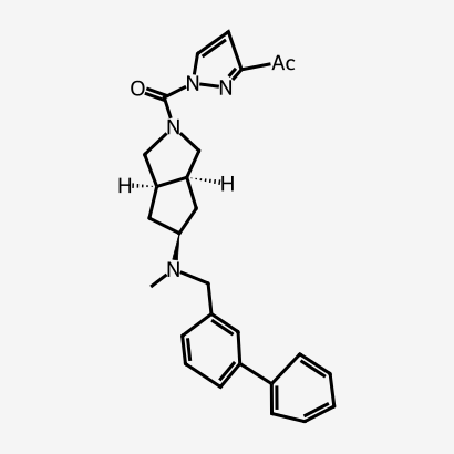 CC(=O)c1ccn(C(=O)N2C[C@H]3C[C@@H](N(C)Cc4cccc(-c5ccccc5)c4)C[C@H]3C2)n1